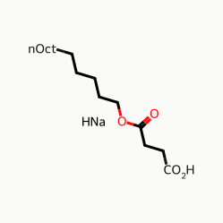 CCCCCCCCCCCCCOC(=O)CCC(=O)O.[NaH]